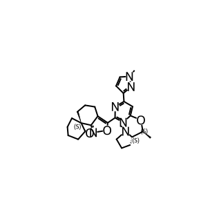 C[C@H](Oc1cc(-c2ccn(C)n2)nc(-c2onc3c2CCC[C@@]32CCCCC2=O)n1)[C@@H]1CCCN1C